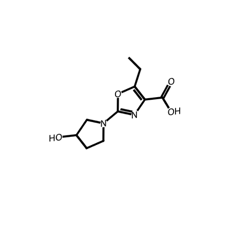 CCc1oc(N2CCC(O)C2)nc1C(=O)O